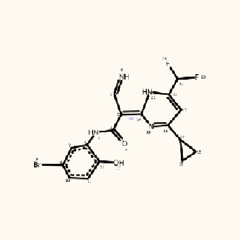 N=C/C(C(=O)Nc1cc(Br)ccc1O)=C1/N=C(C2CC2)C=C(C(F)F)N1